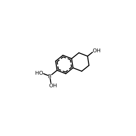 OB(O)c1ccc2c(c1)CCC(O)C2